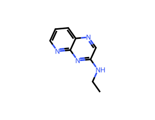 CCNc1cnc2cccnc2n1